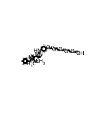 CN(C)c1c(-c2ccnc(N[C@H]3CC[C@H](OCCOCCOCCOCCOCCO)CC3)n2)cnn1Cc1ccccc1